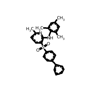 Cc1cc(C)c(Nc2nc(C)ccc2S(=O)(=O)c2ccc(-c3ccccc3)cc2)c(C)c1